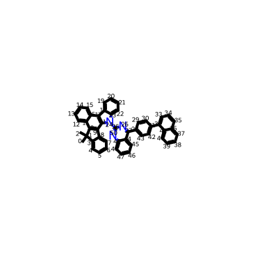 CC1(C)c2ccccc2-c2c1c1ccccc1c1c3ccccc3n(-c3nc(-c4ccc(-c5cccc6ccccc56)cc4)c4ccccc4n3)c21